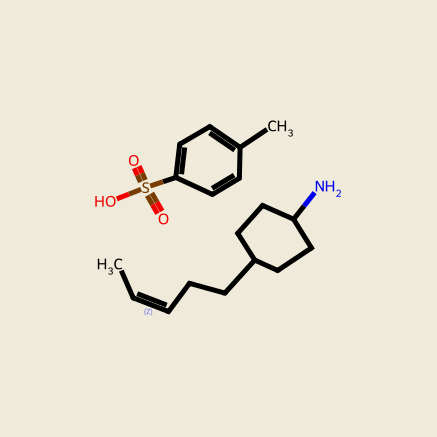 C/C=C\CCC1CCC(N)CC1.Cc1ccc(S(=O)(=O)O)cc1